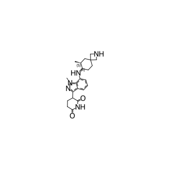 C[C@H]1CC2(CC[C@H]1Nc1cccc3c(C4CCC(=O)NC4=O)nn(C)c13)CNC2